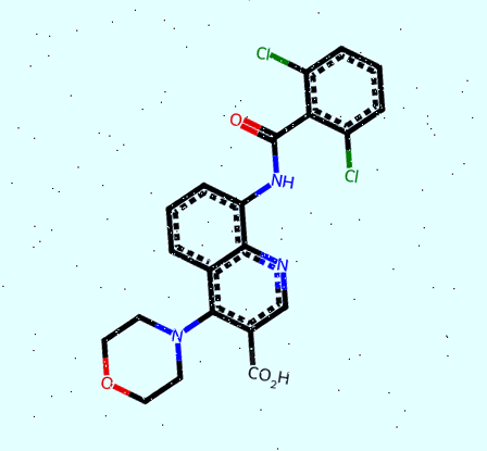 O=C(O)c1cnc2c(NC(=O)c3c(Cl)cccc3Cl)cccc2c1N1CCOCC1